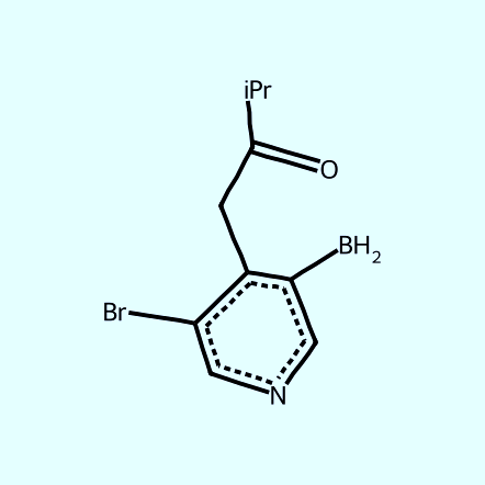 Bc1cncc(Br)c1CC(=O)C(C)C